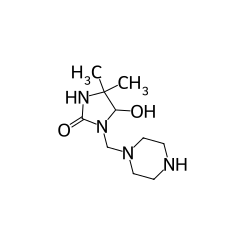 CC1(C)NC(=O)N(CN2CCNCC2)C1O